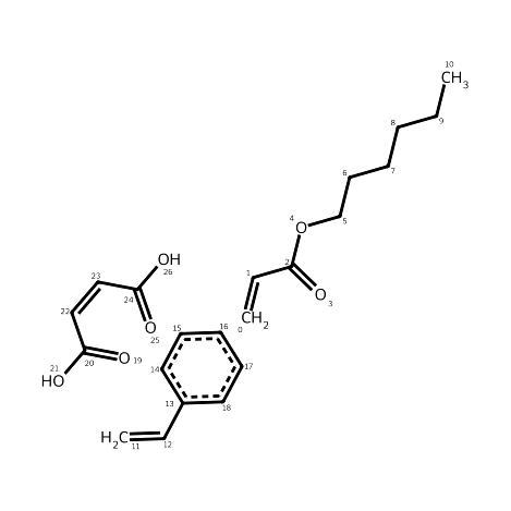 C=CC(=O)OCCCCCC.C=Cc1ccccc1.O=C(O)/C=C\C(=O)O